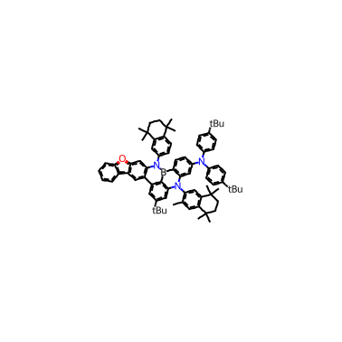 Cc1cc2c(cc1N1c3cc(N(c4ccc(C(C)(C)C)cc4)c4ccc(C(C)(C)C)cc4)ccc3B3c4c(cc(C(C)(C)C)cc41)-c1cc4c(cc1N3c1ccc3c(c1)C(C)(C)CCC3(C)C)oc1ccccc14)C(C)(C)CCC2(C)C